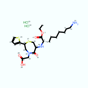 CCOC(=O)[C@H](CCCCCCCN)NC1CSC(c2cccs2)CN(CC(=O)O)C1=O.Cl.Cl